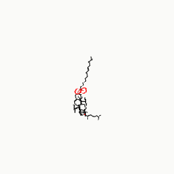 CCCCC=CCCCCCCCC(=O)O[C@H]1CC[C@@]2(C)C(=CC[C@H]3[C@@H]4CC[C@H]([C@H](C)CCCC(C)C)[C@@]4(C)CC[C@@H]32)C1